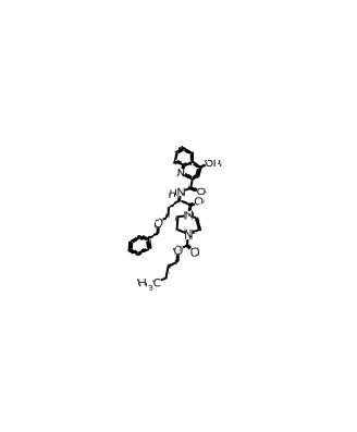 CCCCOC(=O)N1CCN(C(=O)C(CCOCc2ccccc2)NC(=O)c2cc(O)c3ccccc3n2)CC1